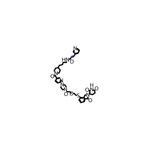 O=C(/C=C/c1cccnc1)NCCCCC1CCN(C(=O)c2ccc(N3CCN(C(=O)COCCSc4cccc5c4CN(C4CCC(=O)NC4=O)C5=O)CC3)nc2)CC1